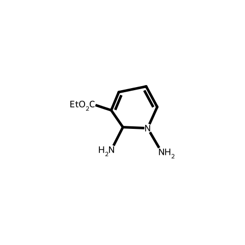 CCOC(=O)C1=CC=CN(N)C1N